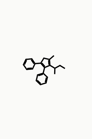 CCC(C)C1=C(C)CC(c2ccccc2)=C1c1ccccc1